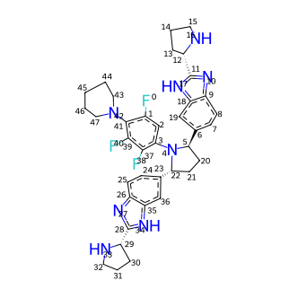 Fc1cc(N2[C@@H](c3ccc4nc([C@@H]5CCCN5)[nH]c4c3)CC[C@@H]2c2ccc3nc([C@@H]4CCCN4)[nH]c3c2)c(F)c(F)c1N1CCCCC1